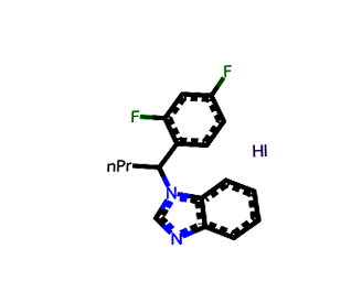 CCCC(c1ccc(F)cc1F)n1cnc2ccccc21.I